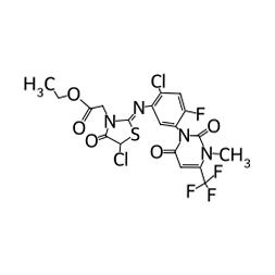 CCOC(=O)CN1C(=O)C(Cl)S/C1=N\c1cc(-n2c(=O)cc(C(F)(F)F)n(C)c2=O)c(F)cc1Cl